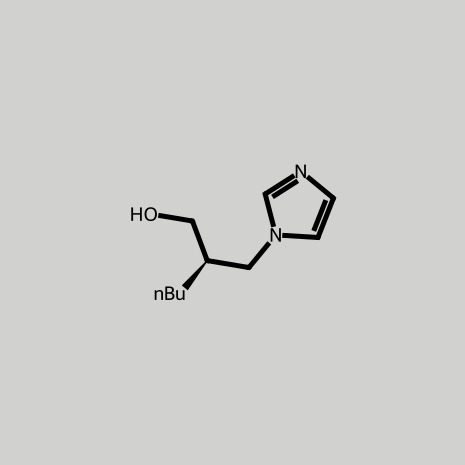 CCCC[C@@H](CO)Cn1ccnc1